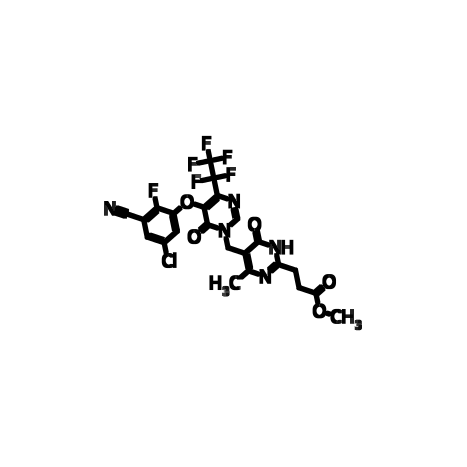 COC(=O)CCc1nc(C)c(Cn2cnc(C(F)(F)C(F)(F)F)c(Oc3cc(Cl)cc(C#N)c3F)c2=O)c(=O)[nH]1